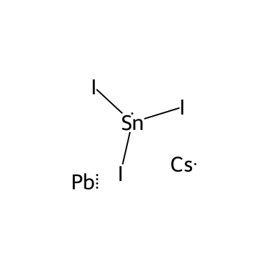 [Cs].[I][Sn]([I])[I].[Pb]